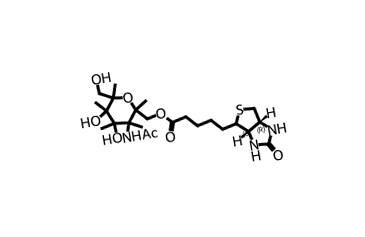 CC(=O)NC1(C)C(C)(COC(=O)CCCCC2SC[C@@H]3NC(=O)N[C@H]23)OC(C)(CO)C(C)(O)C1(C)O